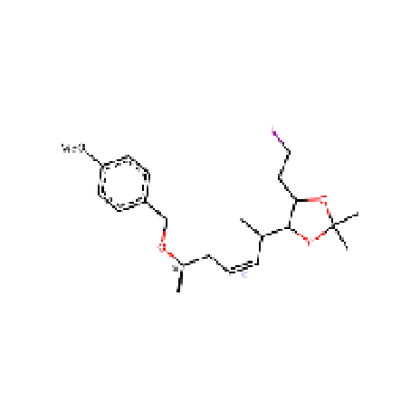 COc1ccc(CO[C@H](C)C/C=C\C(C)C2OC(C)(C)OC2CCI)cc1